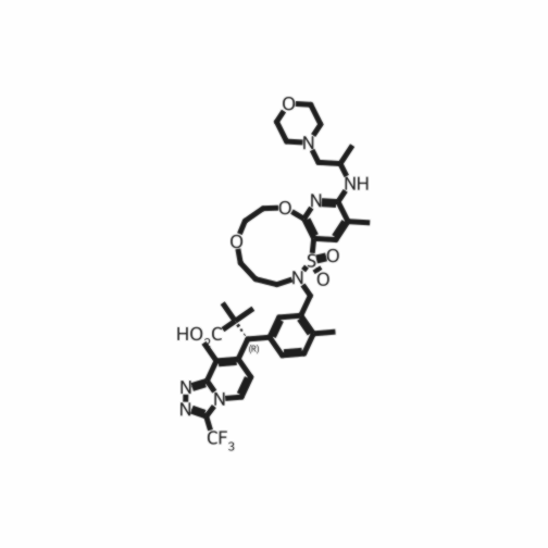 Cc1ccc([C@H](c2ccn3c(C(F)(F)F)nnc3c2C)C(C)(C)C(=O)O)cc1CN1CCCOCCOc2nc(NC(C)CN3CCOCC3)c(C)cc2S1(=O)=O